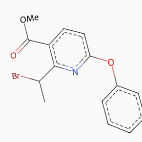 COC(=O)c1ccc(Oc2ccccc2)nc1C(C)Br